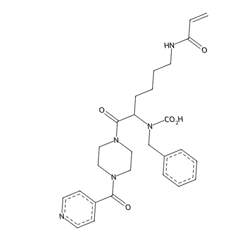 C=CC(=O)NCCCCC(C(=O)N1CCN(C(=O)c2ccncc2)CC1)N(Cc1ccccc1)C(=O)O